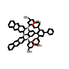 CC(C)(C)c1cc(N2c3cc4cc5ccccc5cc4cc3B3c4cc5cc6ccccc6cc5cc4N(c4cc(C(C)(C)C)cc(C(C)(C)C)c4)c4cc(-c5c(-c6ccccc6)cc(-c6ccccc6)cc5-c5ccccc5)cc2c43)cc(C(C)(C)C)c1